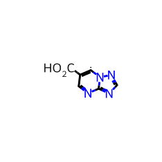 O=C(O)c1[c]n2ncnc2nc1